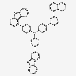 c1cc(-c2ccc(N(c3ccc(-c4ccc5c(c4)oc4ccccc45)cc3)c3ccc(-c4cccc5sc6ccccc6c45)cc3)cc2)cc(-c2cccc3ccccc23)c1